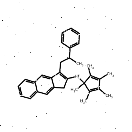 CC1=C(C)[C](C)([Hf][C]2=C(CC(C)c3ccccc3)c3cc4ccccc4cc3C2)C(C)=C1C